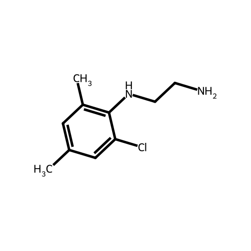 Cc1cc(C)c(NCCN)c(Cl)c1